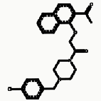 CC(=O)c1ccc2ccccc2c1OCC(=O)N1CCN(Cc2ccc(Cl)cc2)CC1